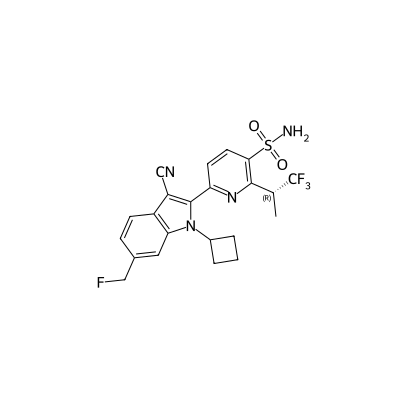 C[C@H](c1nc(-c2c(C#N)c3ccc(CF)cc3n2C2CCC2)ccc1S(N)(=O)=O)C(F)(F)F